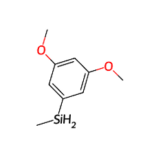 COc1cc(OC)cc([SiH2]C)c1